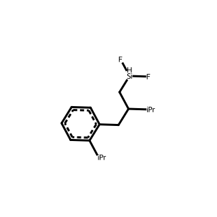 CC(C)c1ccccc1CC(C[SiH](F)F)C(C)C